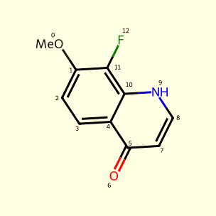 COc1ccc2c(=O)cc[nH]c2c1F